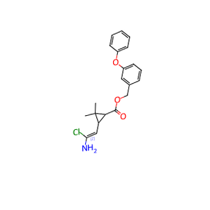 CC1(C)C(/C=C(/N)Cl)C1C(=O)OCc1cccc(Oc2ccccc2)c1